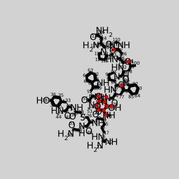 CCCC[C@@H](C(=O)N(C)[C@@H](C)C(=O)N[C@@H](CCCNC(=N)N)C(=O)NC(CSCC(=O)N[C@@H](Cc1ccc(O)cc1)C(=O)NC)C(=O)NCC(N)=O)N(C)C(=O)[C@H](Cc1c[nH]c2ccccc12)NC(=O)[C@H](CO)NC(=O)[C@H](Cc1c[nH]c2ccccc12)NC(=O)[C@@H]1CCCN1C(=O)[C@H](CC(C)C)NC(=O)[C@H](Cc1cnc[nH]1)NC(=O)[C@@H]1CCCN1C(=O)[C@@H](N)CC(N)=O